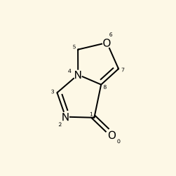 O=C1N=CN2COC=C12